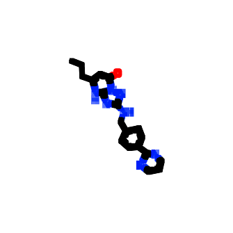 CCCc1cc(=O)n2nc(NCc3ccc(-c4ncccn4)cc3)nc2[nH]1